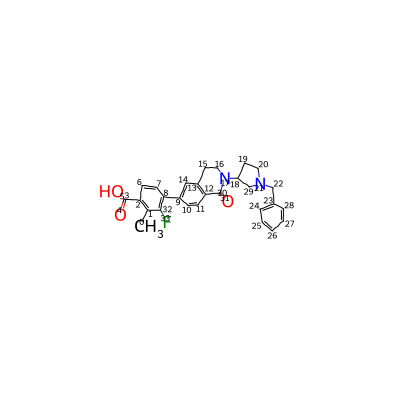 Cc1c(C(=O)O)ccc(-c2ccc3c(c2)CCN(C2CCN(Cc4ccccc4)C2)C3=O)c1F